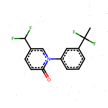 CC(F)(F)c1cccc(-n2cc(C(F)F)ccc2=O)c1